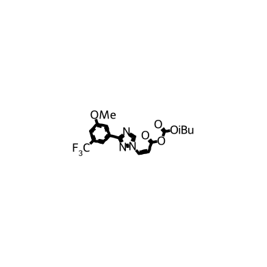 COc1cc(-c2ncn(/C=C\C(=O)OC(=O)OCC(C)C)n2)cc(C(F)(F)F)c1